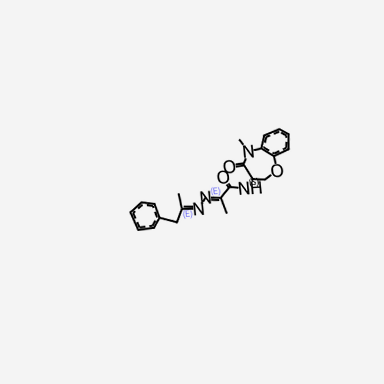 C/C(Cc1ccccc1)=N\N=C(/C)C(=O)N[C@H]1COc2ccccc2N(C)C1=O